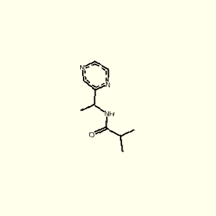 CC(C)C(=O)NC(C)c1cnccn1